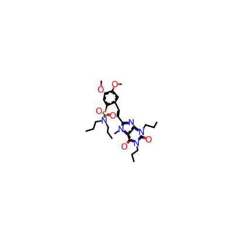 CCCN(CCC)S(=O)(=O)c1cc(OC)c(OC)cc1/C=C/c1nc2c(c(=O)n(CCC)c(=O)n2CCC)n1C